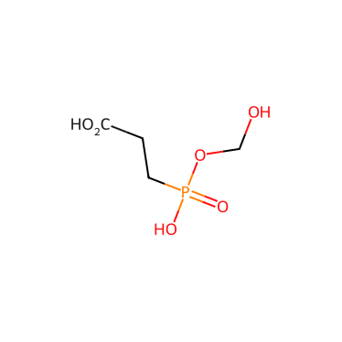 O=C(O)CCP(=O)(O)OCO